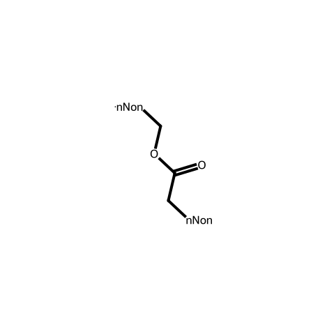 CCCCCCCC[CH]COC(=O)CCCCCCCCCC